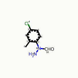 Cc1cc(Cl)ccc1N(N)C=O